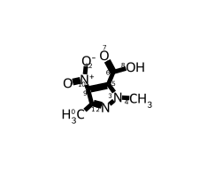 Cc1nn(C)c(C(=O)O)c1[N+](=O)[O-]